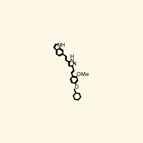 COc1cc(OCC2CCCCC2)ccc1C=Cc1cc(C=Cc2ccc3cc[nH]c3c2)[nH]n1